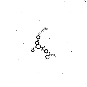 CCCCOCCOc1ccc(-c2ccc3c(c2)C=C(C(=O)Nc2ccc(CN(C)C4CCOCC4)cc2)CCN3Cc2nccs2)cc1